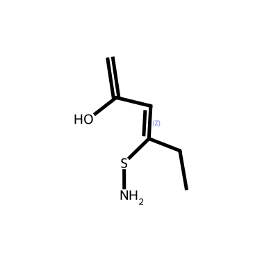 C=C(O)/C=C(/CC)SN